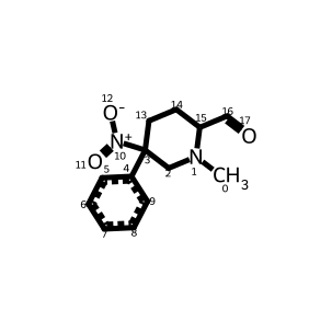 CN1CC(c2ccccc2)([N+](=O)[O-])CCC1C=O